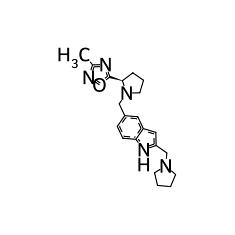 Cc1noc([C@H]2CCCN2Cc2ccc3[nH]c(CN4CCCC4)cc3c2)n1